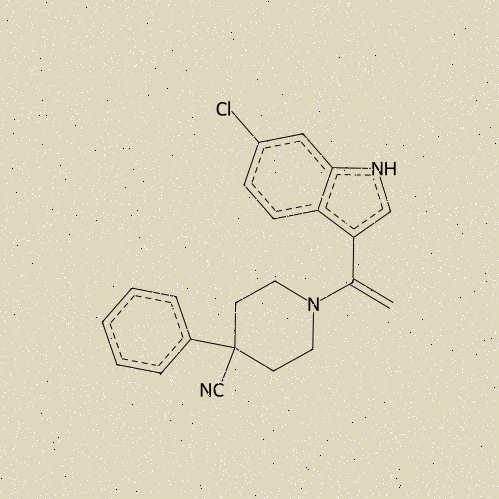 C=C(c1c[nH]c2cc(Cl)ccc12)N1CCC(C#N)(c2ccccc2)CC1